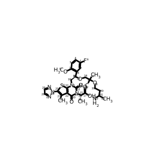 COc1ccc(F)cc1[C@H](Cn1c(=O)n([C@@H](C)C(=O)O)c(=O)c2c(C)c(-n3nccn3)sc21)OCC(C)(C)OCCC(C)N